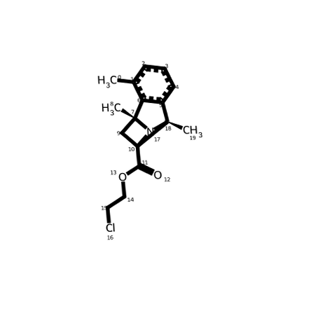 Cc1cccc2c1[C@@]1(C)CC3(C(=O)OCCCl)N1[C@]23C